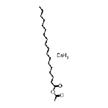 CCCCCCCCCCCCCCCCCC(=O)OC(C)=O.[CaH2]